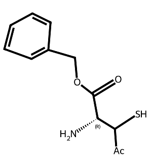 CC(=O)C(S)[C@H](N)C(=O)OCc1ccccc1